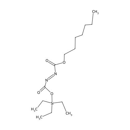 CCCCCCCOC(=O)/N=N/C(=O)O[Si](CC)(CC)CC